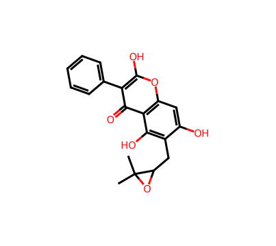 CC1(C)OC1Cc1c(O)cc2oc(O)c(-c3ccccc3)c(=O)c2c1O